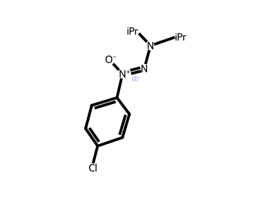 CC(C)N(/N=[N+](\[O-])c1ccc(Cl)cc1)C(C)C